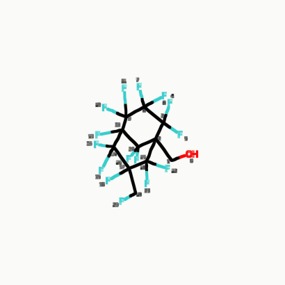 OCC12C(F)(F)C(F)(F)C(F)(F)C(F)(C(F)(F)C(F)(CF)C1(F)F)C2(F)F